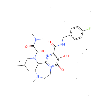 CC(C)CN(C(=O)C(=O)N(C)C)C1CN(C)CCn2c1nc(C(=O)NCc1ccc(F)cc1)c(O)c2=O